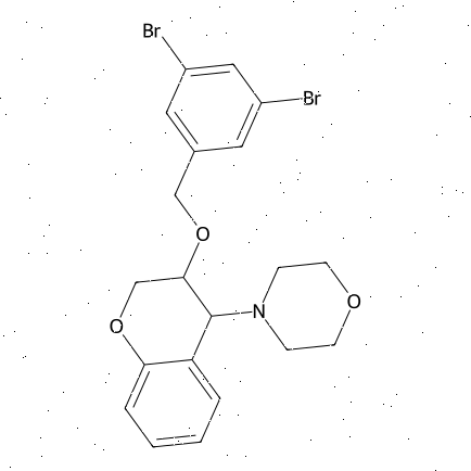 Brc1cc(Br)cc(COC2COc3ccccc3C2N2CCOCC2)c1